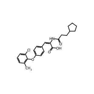 Cc1cccc(Cl)c1Oc1ccc(/C=C(/NC(=O)CCC2CCCC2)C(=O)O)cc1